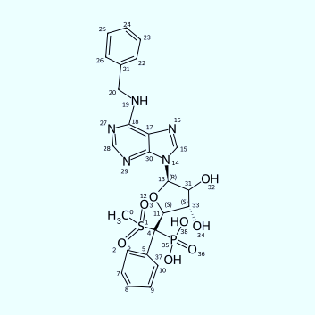 CS(=O)(=O)C(c1ccccc1)([C@H]1O[C@@H](n2cnc3c(NCc4ccccc4)ncnc32)C(O)[C@@H]1O)P(=O)(O)O